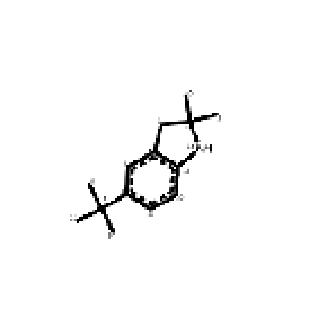 CC1(C)Cc2cc(C(C)(C)C)ccc2N1